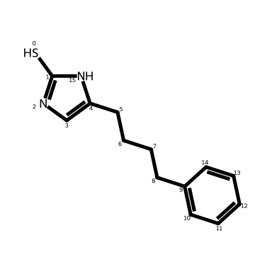 Sc1ncc(CCCCc2ccccc2)[nH]1